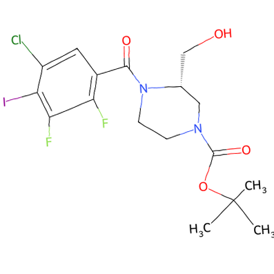 CC(C)(C)OC(=O)N1CCN(C(=O)c2cc(Cl)c(I)c(F)c2F)[C@H](CO)C1